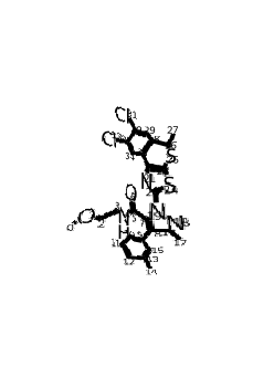 COCCNC(=O)c1c(-c2cccc(C)c2)c(C)nn1-c1nc2c(s1)SC(C)c1cc(Cl)c(Cl)cc1-2